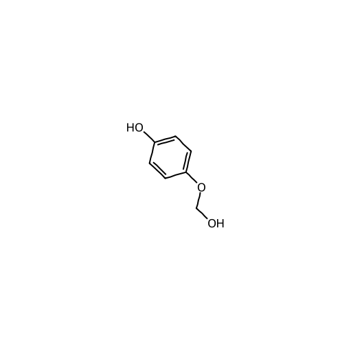 OCOc1ccc(O)cc1